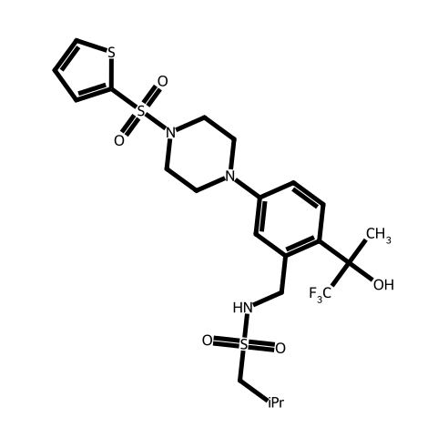 CC(C)CS(=O)(=O)NCc1cc(N2CCN(S(=O)(=O)c3cccs3)CC2)ccc1C(C)(O)C(F)(F)F